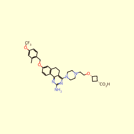 Cc1cc(OC(F)(F)F)ccc1COc1ccc2c(c1)CCc1c-2nc(N)nc1N1CCN(CCO[C@H]2C[C@@H](C(=O)O)C2)CC1